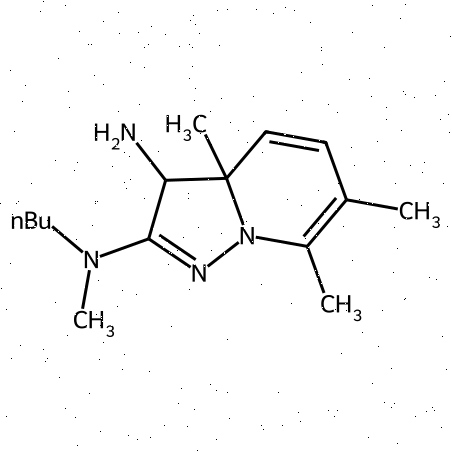 CCCCN(C)C1=NN2C(C)=C(C)C=CC2(C)C1N